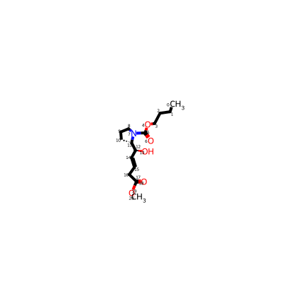 CCCCOC(=O)N1CCC[C@H]1[C@@H](O)C=CCC(=O)OC